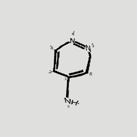 [NH]c1ccnnc1